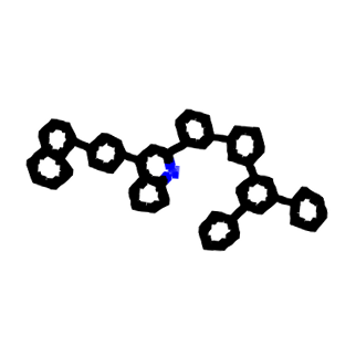 c1ccc(-c2cc(-c3ccccc3)cc(-c3cccc(-c4cccc(-c5cc(-c6ccc(-c7cccc8ccccc78)cc6)c6ccccc6n5)c4)c3)c2)cc1